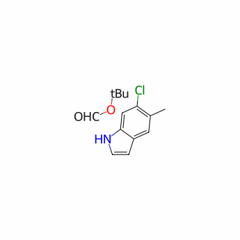 CC(C)(C)OC=O.Cc1cc2cc[nH]c2cc1Cl